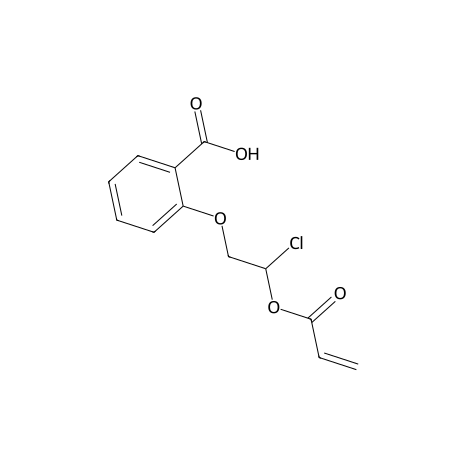 C=CC(=O)OC(Cl)COc1ccccc1C(=O)O